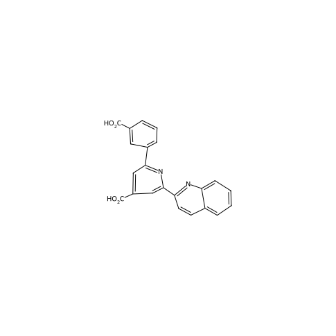 O=C(O)c1cccc(-c2cc(C(=O)O)cc(-c3ccc4ccccc4n3)n2)c1